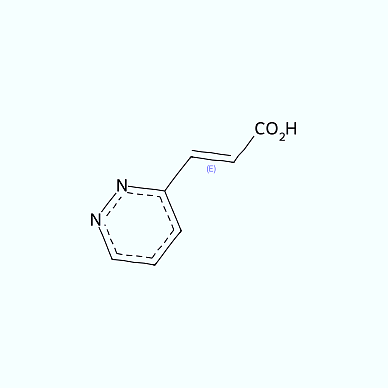 O=C(O)/C=C/c1cccnn1